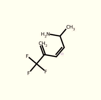 C=C(/C=C\C(C)N)C(F)(F)F